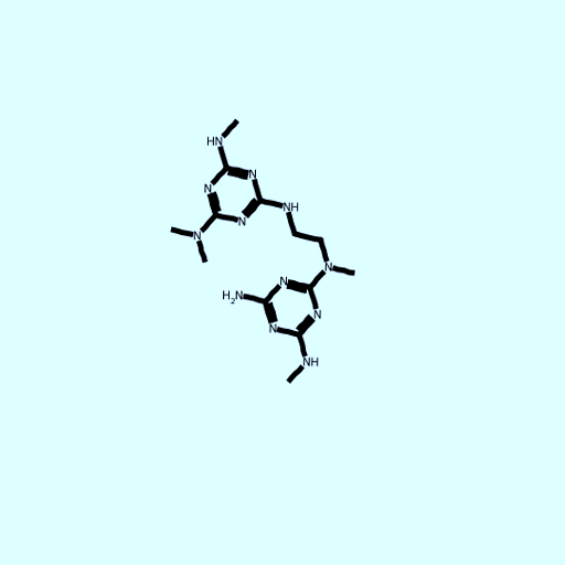 CNc1nc(NCCN(C)c2nc(N)nc(NC)n2)nc(N(C)C)n1